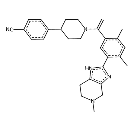 C=C(c1cc(-c2nc3c([nH]2)CCN(C)C3)c(C)cc1C)N1CCC(c2ccc(C#N)cc2)CC1